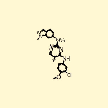 COc1ccc(Nc2nc(Nc3ccc4cnn(C)c4c3)ncc2F)cc1Cl